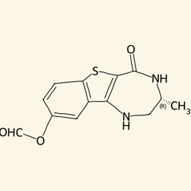 C[C@@H]1CNc2c(sc3ccc(OC=O)cc23)C(=O)N1